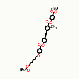 CCCCOC(=O)c1ccc(OC(=O)c2ccc(C#Cc3ccc(OC(=O)c4ccc(OCCCCCCOC(=O)C(C)CC)cc4)cc3)cc2C(F)(F)F)cc1